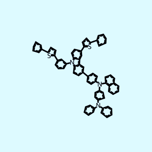 c1ccc(-c2ccc(-c3cccc(-n4c5ccc(-c6ccc(N(c7ccc(N(c8ccccc8)c8ccccc8)cc7)c7cccc8ccccc78)cc6)cc5c5cc(-c6ccc(-c7ccccc7)s6)ccc54)c3)s2)cc1